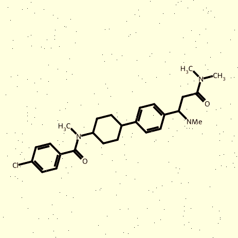 CNC(CC(=O)N(C)C)c1ccc(C2CCC(N(C)C(=O)c3ccc(Cl)cc3)CC2)cc1